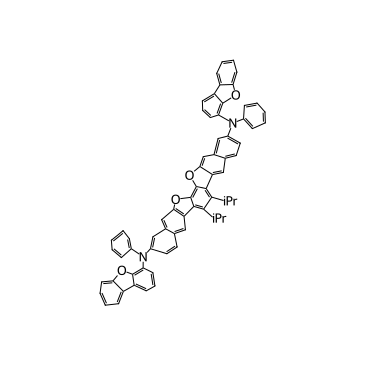 CC(C)c1c(C(C)C)c2c3cc4ccc(N(c5ccccc5)c5cccc6c5oc5ccccc56)cc4cc3oc2c2oc3cc4cc(N(c5ccccc5)c5cccc6c5oc5ccccc56)ccc4cc3c12